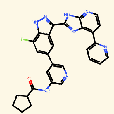 O=C(Nc1cncc(-c2cc(F)c3[nH]nc(-c4nc5c(-c6ccccn6)ccnc5[nH]4)c3c2)c1)C1CCCC1